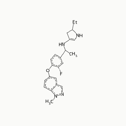 CCC1CC(NC(C)c2ccc(Oc3ccc4c(cnn4C)c3)c(F)c2)=CN1